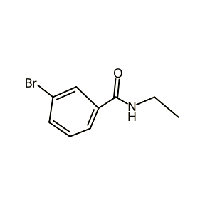 CCNC(=O)c1cccc(Br)c1